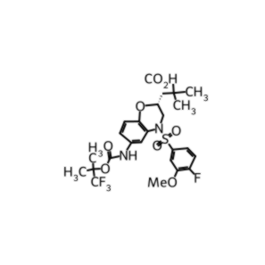 COc1cc(S(=O)(=O)N2C[C@@H](CC(C)(C)C(=O)O)Oc3ccc(NC(=O)OC(C)(C)C(F)(F)F)cc32)ccc1F